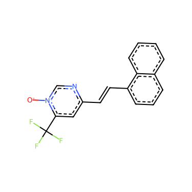 [O-][n+]1cnc(C=Cc2cccc3ccccc23)cc1C(F)(F)F